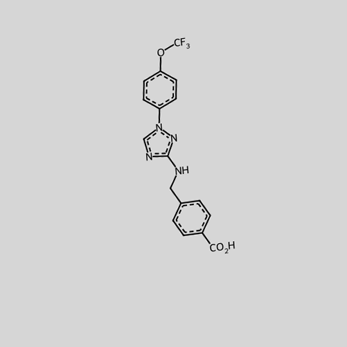 O=C(O)c1ccc(CNc2ncn(-c3ccc(OC(F)(F)F)cc3)n2)cc1